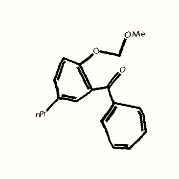 CCCc1ccc(OCOC)c(C(=O)c2ccccc2)c1